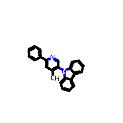 Cc1cc(-c2ccccc2)ncc1-n1c2ccccc2c2ccccc21